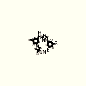 Cc1cc(Nc2ncn(-c3cc(F)cc(F)c3)n2)cc(N2CC(C)(C#N)C2)c1